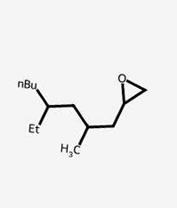 CCCCC(CC)C[C](C)CC1CO1